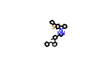 Cc1ccc(-c2ccnc(-n3c4ccccc4c4cc5c(cc43)sc3ccccc35)n2)cc1C1=C(Cc2ccccc2)CCC=C1